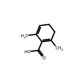 CC1=CCCC(C)=C1C(=O)O